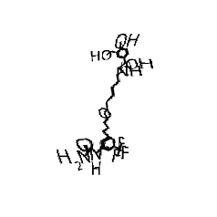 NC(=O)Nc1cc(CCCCOCCCCCCNC[C@@H](O)c2ccc(O)c(CO)c2)cc(C(F)(F)F)c1